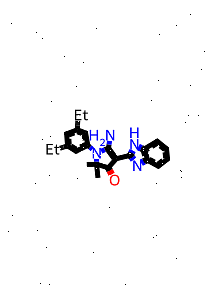 CCc1cc(CC)cc(N2C(N)=C(c3nc4ccccc4[nH]3)C(=O)C2(C)C)c1